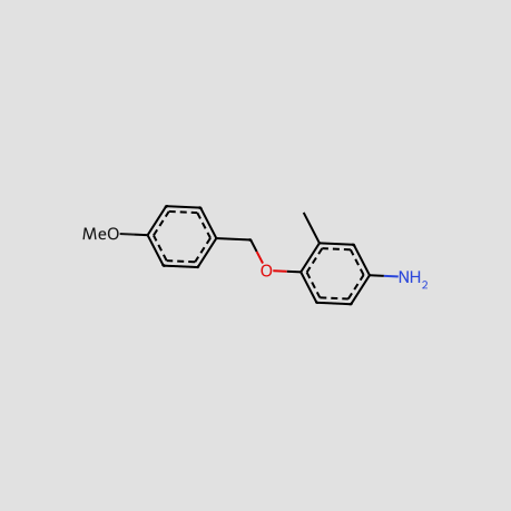 COc1ccc(COc2ccc(N)cc2C)cc1